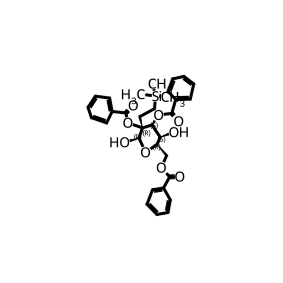 C[Si](C)(C)CC[C@]1(OC(=O)c2ccccc2)[C@H](O)O[C@H](COC(=O)c2ccccc2)[C@H](O)[C@@H]1OC(=O)c1ccccc1